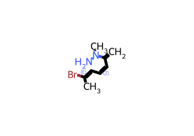 C=C(/C=C\C=C(/C)Br)N(C)N